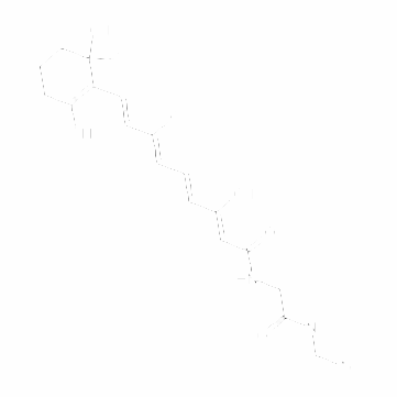 CC(=O)CNC(=O)CNC(=O)/C=C(C)/C=C/C=C(C)/C=C/C1=C(C)CCCC1(C)C